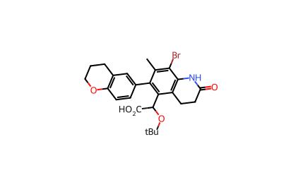 Cc1c(Br)c2c(c(C(OC(C)(C)C)C(=O)O)c1-c1ccc3c(c1)CCCO3)CCC(=O)N2